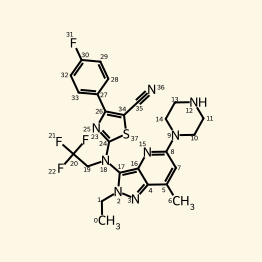 CCn1nc2c(C)cc(N3CCNCC3)nc2c1N(CC(F)(F)F)c1nc(-c2ccc(F)cc2)c(C#N)s1